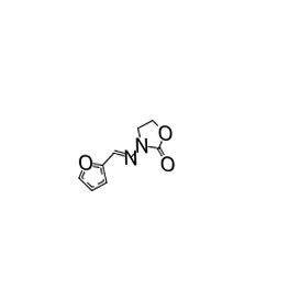 O=C1OCCN1N=Cc1ccco1